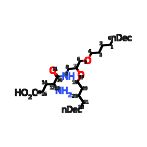 CCCCCCCCCCCCCCOCC(CNC(=O)C(N)CCC(=O)O)OCCCCCCCCCCCCCC